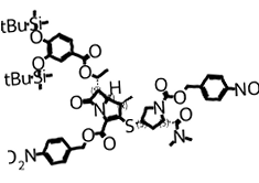 CC(OC(=O)c1ccc(O[Si](C)(C)C(C)(C)C)c(O[Si](C)(C)C(C)(C)C)c1)[C@H]1C(=O)N2C(C(=O)OCc3ccc([N+](=O)[O-])cc3)=C(S[C@H]3C[C@@H](C(=O)N(C)C)N(C(=O)OCc4ccc([N+](=O)[O-])cc4)C3)[C@H](C)[C@H]12